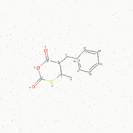 CC1SC(=O)OC(=O)C1Cc1ccccc1